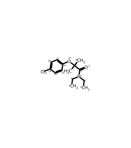 CCN(CC)C(=O)C(C)(C)Oc1ccc(Cl)cc1